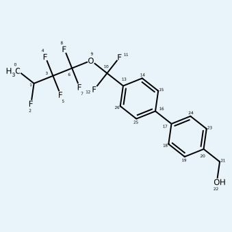 CC(F)C(F)(F)C(F)(F)OC(F)(F)c1ccc(-c2ccc(CO)cc2)cc1